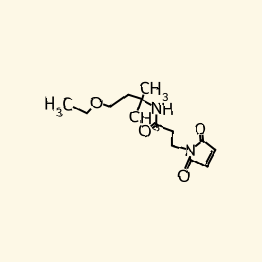 CCOCCC(C)(C)NC(=O)CCN1C(=O)C=CC1=O